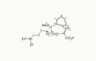 C=C(C)C(=O)O.CCN(CC)CCCN.COC(Cl)c1ccccc1